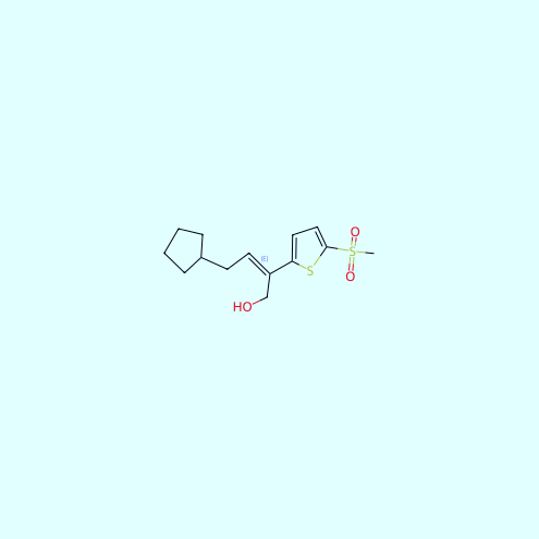 CS(=O)(=O)c1ccc(/C(=C/CC2CCCC2)CO)s1